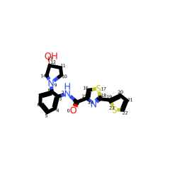 O=C(Nc1ccccc1N1CC[C@@H](O)C1)c1csc(-c2cccs2)n1